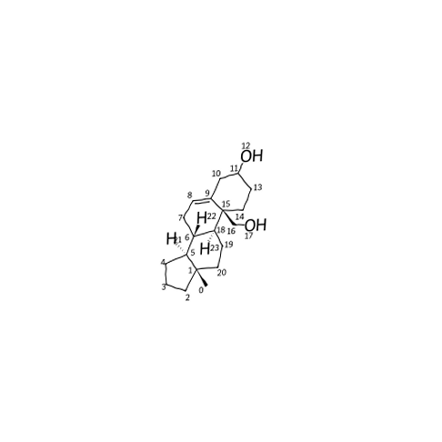 C[C@@]12CCC[C@H]1[C@@H]1CC=C3CC(O)CC[C@]3(CO)[C@H]1CC2